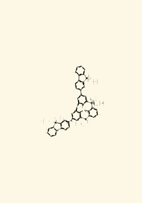 CC1(C)c2ccccc2-c2ccc(-c3cc4c5c(c3)c3cc(-c6ccc7c(c6)C(C)(C)c6ccccc6-7)cc6c3n5-c3c(cccc3C6(C)C)C4(C)C)cc21